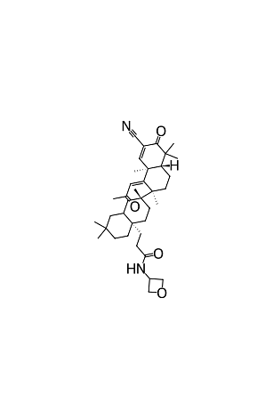 CC(=O)/C=C1/[C@@]2(C)C=C(C#N)C(=O)C(C)(C)[C@@H]2CC[C@@]1(C)[C@]1(C)CC[C@@]2(CCC(=O)NC3COC3)CCC(C)(C)CC2C1